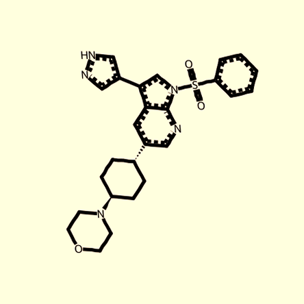 O=S(=O)(c1ccccc1)n1cc(-c2cn[nH]c2)c2cc([C@H]3CC[C@H](N4CCOCC4)CC3)cnc21